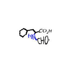 O=[C]NC(CC1CCCCC1)C(=O)O